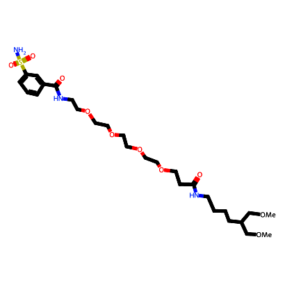 COCC(CCCCNC(=O)CCOCCOCCOCCOCCNC(=O)c1cccc(S(N)(=O)=O)c1)COC